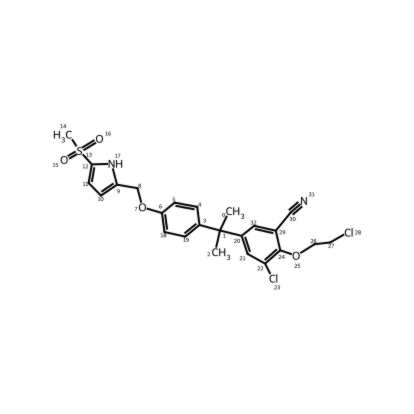 CC(C)(c1ccc(OCc2ccc(S(C)(=O)=O)[nH]2)cc1)c1cc(Cl)c(OCCCl)c(C#N)c1